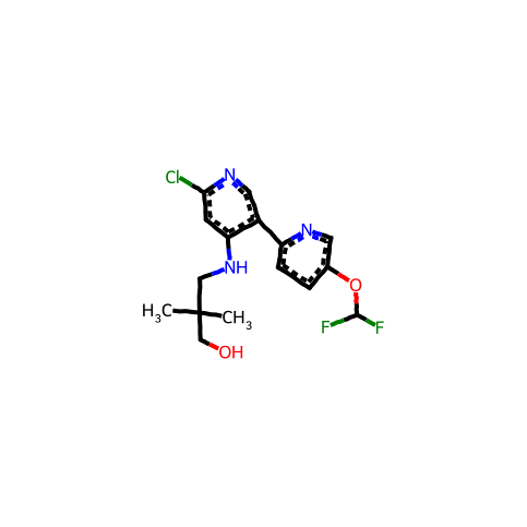 CC(C)(CO)CNc1cc(Cl)ncc1-c1ccc(OC(F)F)cn1